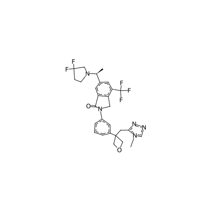 C[C@@H](c1cc2c(c(C(F)(F)F)c1)CN(c1cccc(C3(Cc4nncn4C)COC3)c1)C2=O)N1CCC(F)(F)C1